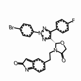 O=C1C=c2cc(CCN3C(=O)CO[C@H]3c3nn(-c4ccc(Br)cc4)nc3-c3ccc(F)cc3)ccc2=N1